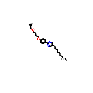 CCCCCCCCc1cnc(-c2ccc(OCCCCOCC3CC3)cc2)nc1